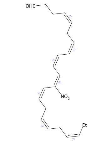 CC/C=C\C/C=C\C\C=C/C(=C\C=C/C=C\C/C=C\CC[C]=O)[N+](=O)[O-]